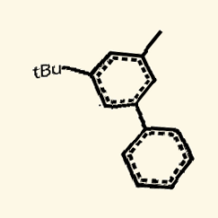 Cc1cc(-c2ccccc2)[c]c(C(C)(C)C)c1